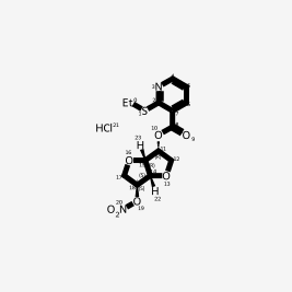 CCSc1ncccc1C(=O)O[C@@H]1CO[C@H]2[C@@H]1OC[C@@H]2O[N+](=O)[O-].Cl